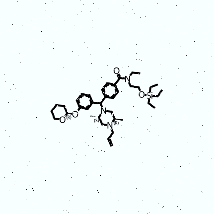 C=CCN1C[C@H](C)N(C(c2ccc(C(=O)N(CC)CCO[Si](CC)(CC)CC)cc2)c2cccc(O[C@@H]3CCCCO3)c2)C[C@H]1C